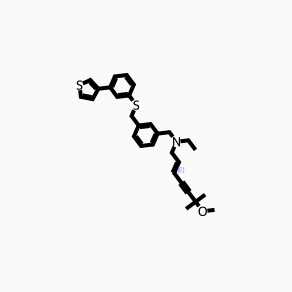 CCN(C/C=C/C#CC(C)(C)OC)Cc1cccc(CSc2cccc(-c3ccsc3)c2)c1